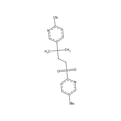 CC(C)(C)c1ccc(S(=O)(=O)CCC(C)(C)c2ccc(C#N)nc2)nc1